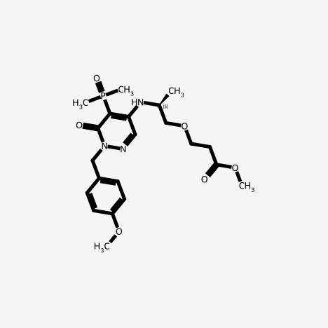 COC(=O)CCOC[C@H](C)Nc1cnn(Cc2ccc(OC)cc2)c(=O)c1P(C)(C)=O